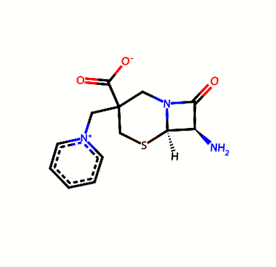 N[C@@H]1C(=O)N2CC(C[n+]3ccccc3)(C(=O)[O-])CS[C@H]12